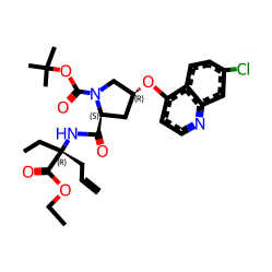 C=CC[C@@](CC)(NC(=O)[C@@H]1C[C@@H](Oc2ccnc3cc(Cl)ccc23)CN1C(=O)OC(C)(C)C)C(=O)OCC